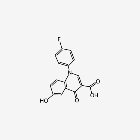 O=C(O)c1cn(-c2ccc(F)cc2)c2ccc(O)cc2c1=O